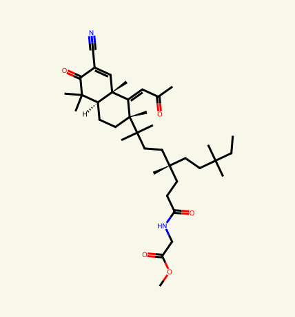 CCC(C)(C)CC[C@](C)(CCC(=O)NCC(=O)OC)CCC(C)(C)[C@]1(C)CC[C@H]2C(C)(C)C(=O)C(C#N)=C[C@]2(C)/C1=C/C(C)=O